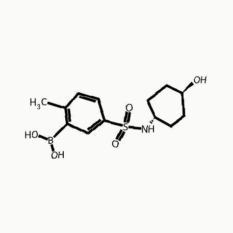 Cc1ccc(S(=O)(=O)N[C@H]2CC[C@H](O)CC2)cc1B(O)O